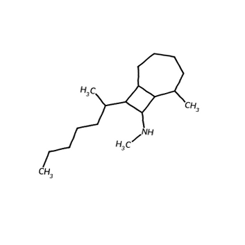 CCCCCC(C)C1C2CCCCC(C)C2C1NC